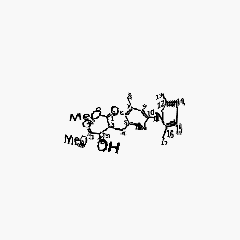 COC(=O)[C@@H](Cc1cc(C)cc(-n2c(C)ccc2C)n1)[C@@H](O)C(=O)OC